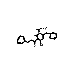 CC(C(=O)O)n1c(Cc2ccccc2)cc(N)c(C(=O)CCc2ccccc2)c1=O